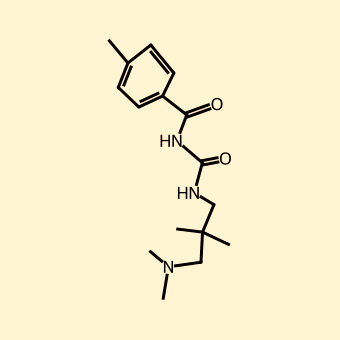 Cc1ccc(C(=O)NC(=O)NCC(C)(C)CN(C)C)cc1